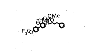 CCCCCCCOc1cc(N(CCCCc2ccccc2)C(=O)C(=O)OC)ccc1-c1ccc(OC(F)(F)F)cc1